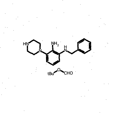 CC(C)(C)OC=O.Nc1c(NCc2ccccc2)cccc1N1CCNCC1